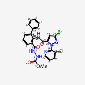 COC(=O)NNC(=O)c1cccc(-c2ccccc2)c1NC(=O)c1cc(Br)nn1-c1ncccc1Cl